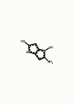 Nc1cc2[nH]c(O)cc2n1O